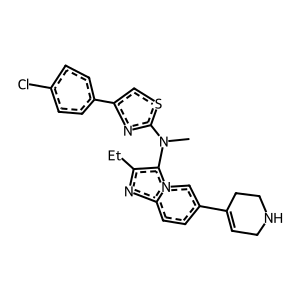 CCc1nc2ccc(C3=CCNCC3)cn2c1N(C)c1nc(-c2ccc(Cl)cc2)cs1